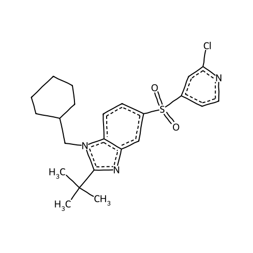 CC(C)(C)c1nc2cc(S(=O)(=O)c3ccnc(Cl)c3)ccc2n1CC1CCCCC1